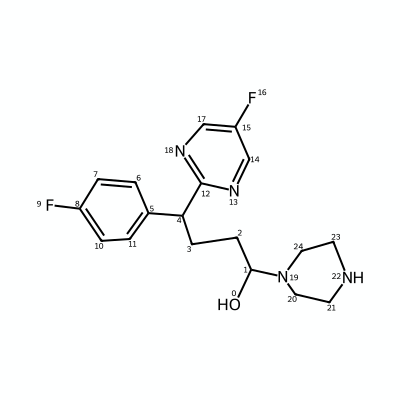 OC(CCC(c1ccc(F)cc1)c1ncc(F)cn1)N1CCNCC1